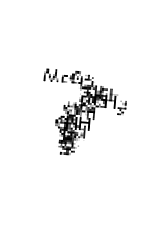 COc1ccc2c(c1)/C(=C/C(=O)c1cccc(NC(=O)c3sc4ccccc4c3Cl)c1)NC(C)(C)C2